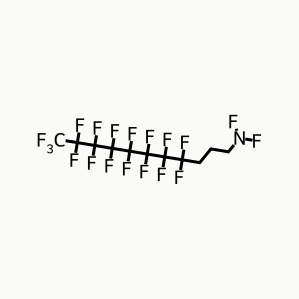 FN(F)CCCC(F)(F)C(F)(F)C(F)(F)C(F)(F)C(F)(F)C(F)(F)C(F)(F)C(F)(F)F